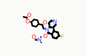 CC(=O)OC1CCC(C(=O)Cn2c(=O)c3ccc(F)cc3c3cnccc32)CC1.CN(C)C=O